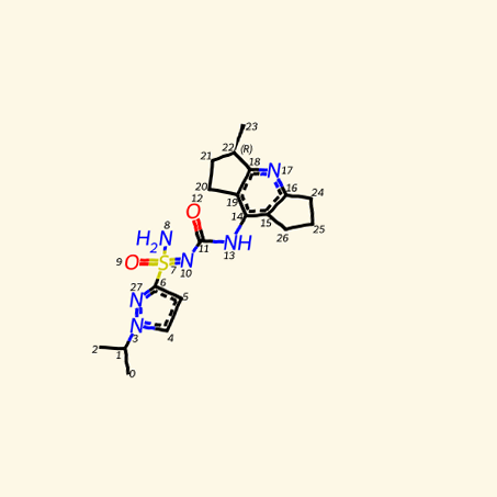 CC(C)n1ccc(S(N)(=O)=NC(=O)Nc2c3c(nc4c2CC[C@H]4C)CCC3)n1